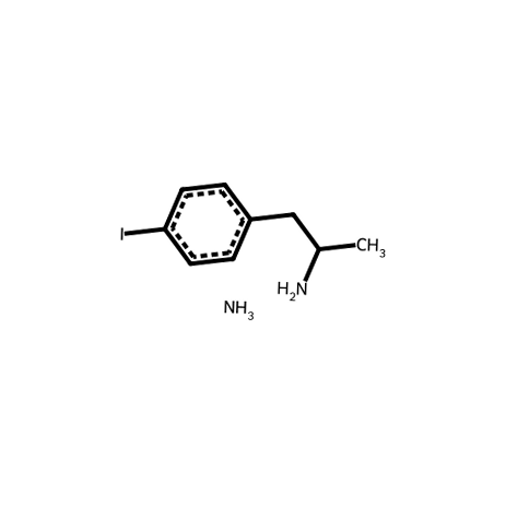 CC(N)Cc1ccc(I)cc1.N